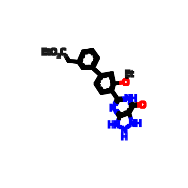 CCOC(=O)Cc1cccc(-c2ccc(-c3nc4c(c(=O)[nH]3)NNN4)c(OCC)c2)c1